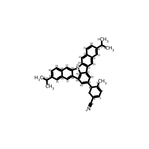 CC1=CC=C(C#N)CC1c1cc2c3cc4cc(C(C)C)ccc4cc3n3c4cc5ccc(C(C)C)cc5cc4c(c1)c23